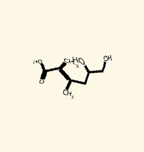 CC(CC(O)CO)=C(C)C(=O)O